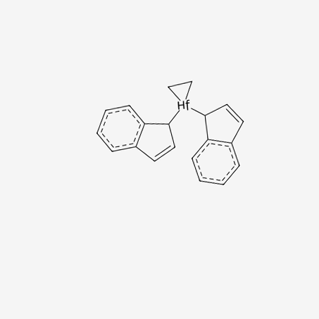 C1=C[CH]([Hf]2([CH]3C=Cc4ccccc43)[CH2][CH2]2)c2ccccc21